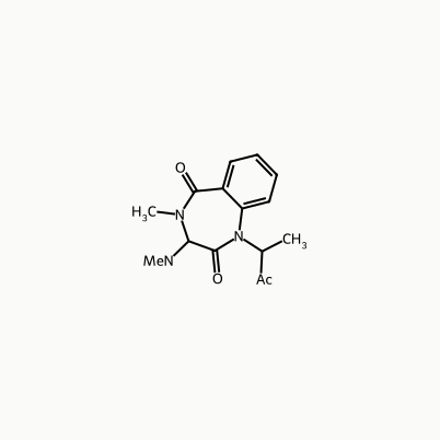 CNC1C(=O)N(C(C)C(C)=O)c2ccccc2C(=O)N1C